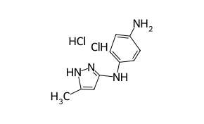 Cc1cc(Nc2ccc(N)cc2)n[nH]1.Cl.Cl